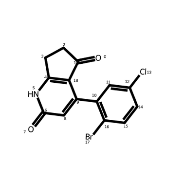 O=C1CCc2[nH]c(=O)cc(-c3cc(Cl)ccc3Br)c21